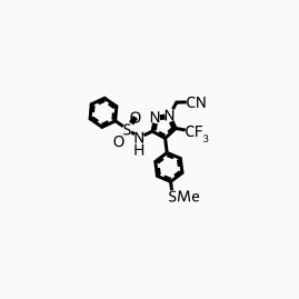 CSc1ccc(-c2c(NS(=O)(=O)c3ccccc3)nn(CC#N)c2C(F)(F)F)cc1